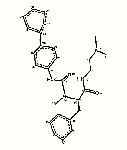 CN(C)CCNC(=O)[C@@H](Cc1ccccc1)N(C)C(=O)Nc1ccc(-c2ccccc2)cc1